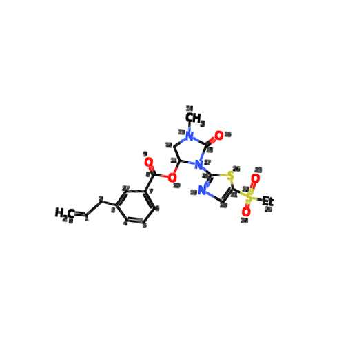 C=CCc1cccc(C(=O)OC2CN(C)C(=O)N2c2ncc(S(=O)(=O)CC)s2)c1